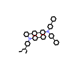 C=C/C=C(\C=C)c1ccc(N(c2ccc(-c3ccccc3)cc2)c2ccccc2-c2ccc(-c3ccc(N(c4ccc(-c5ccccc5)cc4)c4ccc(-c5ccccc5)cc4)cc3)cc2)cc1